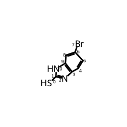 Sc1nc2ccc(Br)cc2[nH]1